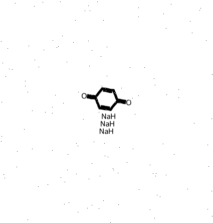 O=C1C=CC(=O)C=C1.[NaH].[NaH].[NaH]